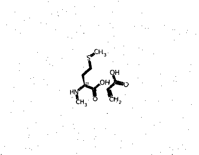 C=CC(=O)O.CN[C@@H](CCSC)C(=O)O